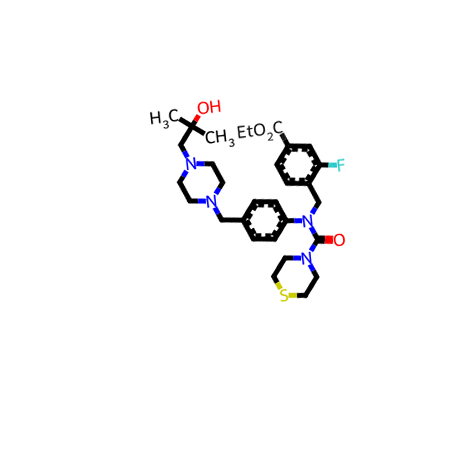 CCOC(=O)c1ccc(CN(C(=O)N2CCSCC2)c2ccc(CN3CCN(CC(C)(C)O)CC3)cc2)c(F)c1